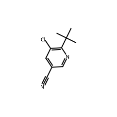 CC(C)(C)c1ncc(C#N)cc1Cl